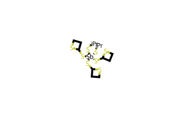 CC(C)[S][Sb]([S]C(C)C)([S]C1CCS1)([S]C1CCS1)[S]C1CCS1